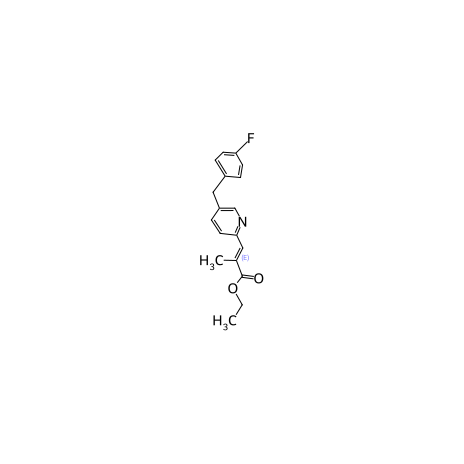 CCOC(=O)/C(C)=C/c1ccc(Cc2ccc(F)cc2)cn1